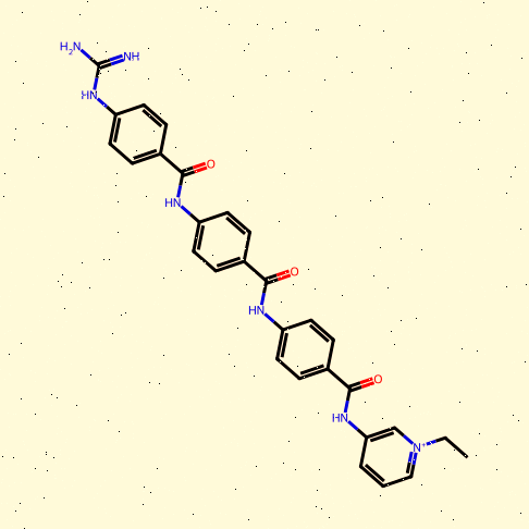 CC[n+]1cccc(NC(=O)c2ccc(NC(=O)c3ccc(NC(=O)c4ccc(NC(=N)N)cc4)cc3)cc2)c1